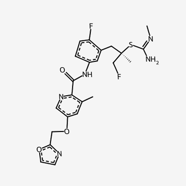 C/N=C(/N)S[C@@](C)(CF)Cc1cc(NC(=O)c2ncc(OCc3ncco3)cc2C)ccc1F